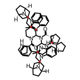 Cc1nc2ccccc2n1C1C[C@H]2CC[C@@H](C1)N2CCC1(c2ccccc2)CCN(C(=O)[C@H]2CCCN2)C(N(C(=O)[C@@H]2CCCN2)C2CC(CCN3[C@@H]4CC[C@H]3CC(n3c(C)nc5ccccc53)C4)(c3ccccc3)CCN2C(=O)[C@H]2CCCN2)C1